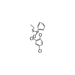 CCSP(=O)(Oc1ccc(Cl)cc1Cl)c1ccccc1